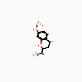 COc1ccc2c(c1)OC(CN)CC2